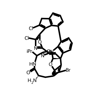 CC(C)C1NC(=O)[C@@H](N)Cc2cc(Br)c3c(c2)[C@]24c5cccc(c5NC2O3)-c2cccc3c2C(=C(Cl)C3)c2oc(nc2Cl)-c2nc1oc24